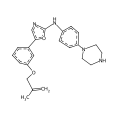 C=C(C)COc1cccc(-c2cnc(Nc3ccc(N4CCNCC4)cc3)o2)c1